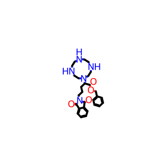 O=C(OCc1ccccc1)C(CCCN1C(=O)c2ccccc2C1=O)N1CCNCCNCCNCC1